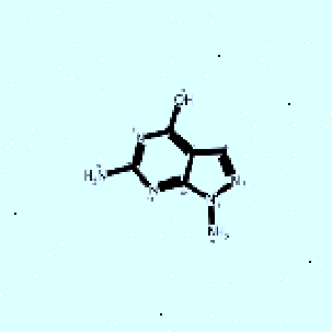 Nc1nc(O)c2cnn(N)c2n1